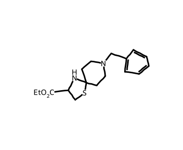 CCOC(=O)C1CSC2(CCN(Cc3ccccc3)CC2)N1